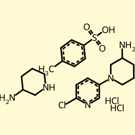 Cc1ccc(S(=O)(=O)O)cc1.Cl.Cl.NC1CCCN(c2ccc(Cl)nc2)C1.NC1CCCNC1